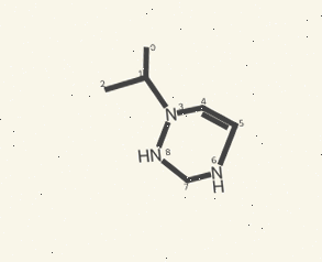 CC(C)N1C=CNCN1